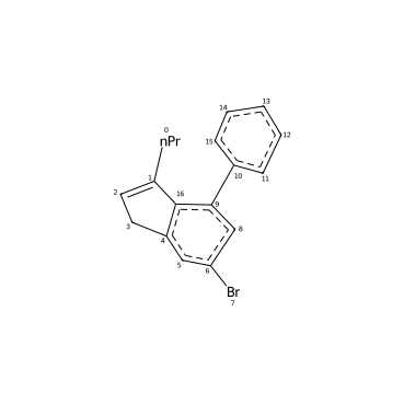 CCCC1=CCc2cc(Br)cc(-c3ccccc3)c21